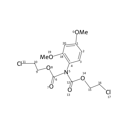 COc1ccc(N(C(=O)OCCCl)C(=O)OCCCl)c(OC)c1